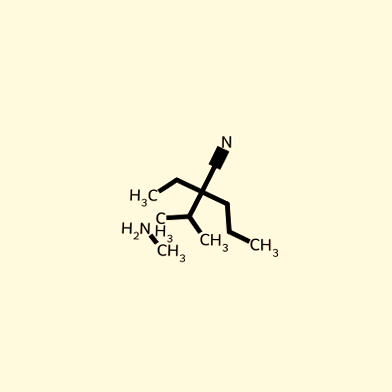 CCCC(C#N)(CC)C(C)C.CN